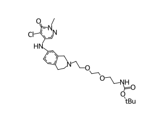 Cn1ncc(Nc2ccc3c(c2)CN(CCOCCOCCNC(=O)OC(C)(C)C)CC3)c(Cl)c1=O